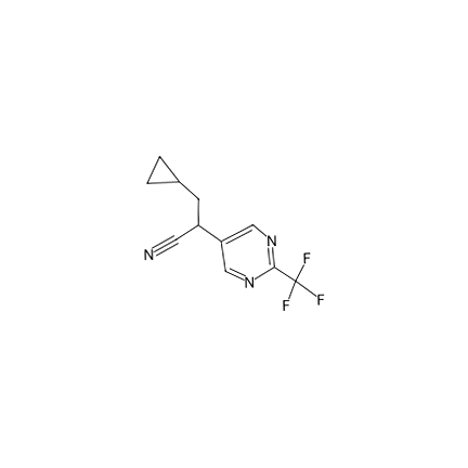 N#CC(CC1CC1)c1cnc(C(F)(F)F)nc1